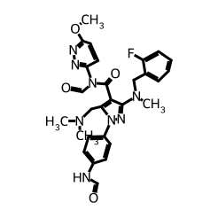 COc1ccc(N(C=O)C(=O)c2c(N(C)Cc3ccccc3F)nn(-c3ccc(NC=O)cc3)c2CN(C)C)nn1